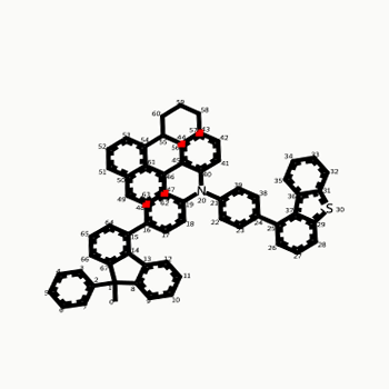 CC1(c2ccccc2)c2ccccc2-c2c(-c3ccc(N(c4ccc(-c5cccc6sc7ccccc7c56)cc4)c4ccccc4-c4cccc5cccc(C6CCCCC6)c45)cc3)cccc21